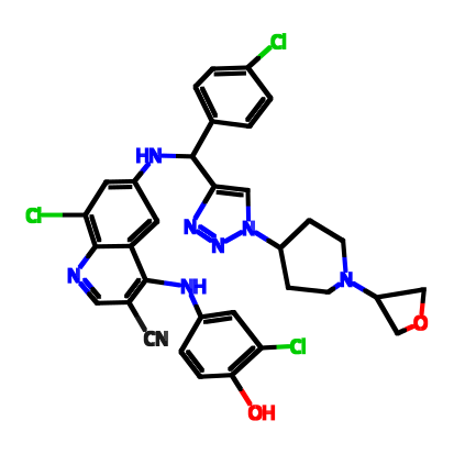 N#Cc1cnc2c(Cl)cc(NC(c3ccc(Cl)cc3)c3cn(C4CCN(C5COC5)CC4)nn3)cc2c1Nc1ccc(O)c(Cl)c1